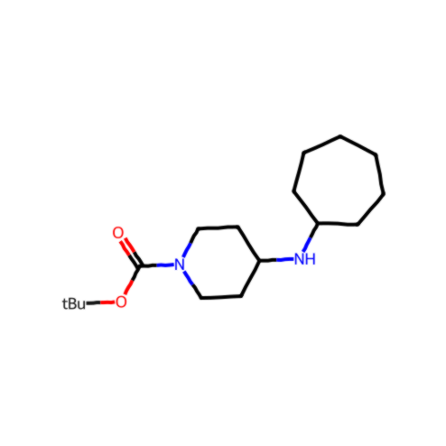 CC(C)(C)OC(=O)N1CCC(NC2CCCCCC2)CC1